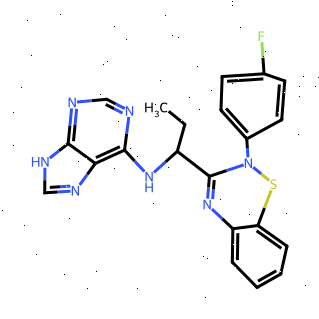 CCC(Nc1ncnc2[nH]cnc12)C1=Nc2ccccc2SN1c1ccc(F)cc1